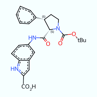 CC(C)(C)OC(=O)N1CC[C@@H](c2ccccc2)[C@H]1C(=O)Nc1ccc2[nH]c(C(=O)O)cc2c1